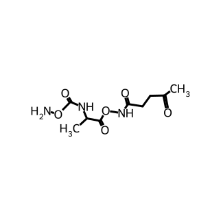 CC(=O)CCC(=O)NOC(=O)C(C)NC(=O)ON